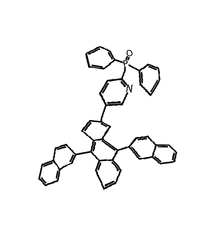 O=P(c1ccccc1)(c1ccccc1)c1ccc(-c2ccc3c(-c4ccc5ccccc5c4)c4ccccc4c(-c4ccc5ccccc5c4)c3c2)cn1